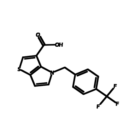 O=C(O)c1csc2ccn(Cc3ccc(C(F)(F)F)cc3)c12